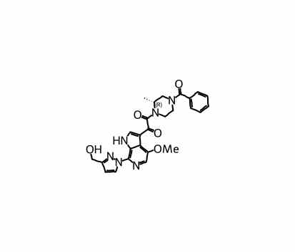 COc1cnc(-n2ccc(CO)n2)c2[nH]cc(C(=O)C(=O)N3CCN(C(=O)c4ccccc4)C[C@H]3C)c12